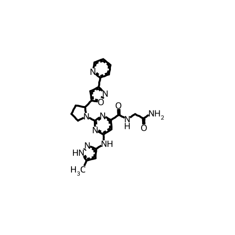 Cc1cc(Nc2cc(C(=O)NCC(N)=O)nc(N3CCCC3c3cc(-c4ccccn4)no3)n2)n[nH]1